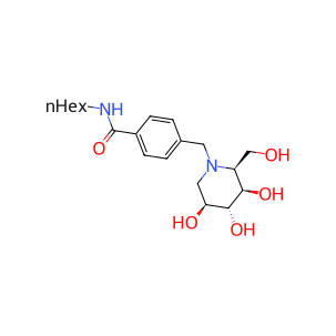 CCCCCCNC(=O)c1ccc(CN2C[C@H](O)[C@@H](O)[C@H](O)[C@@H]2CO)cc1